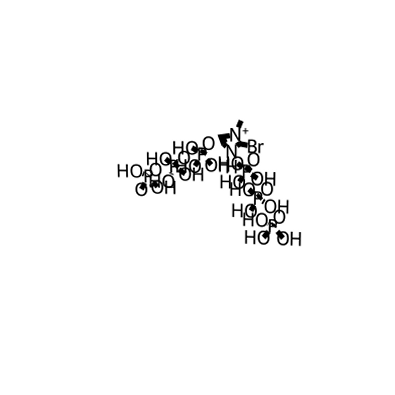 C[n+]1cc[nH]c1Br.O=P(O)(O)O.O=P(O)(O)O.O=P(O)(O)O.O=P(O)(O)O.O=P(O)(O)O.O=P([O-])(O)O